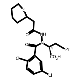 CC(C)C[C@@H](C(=O)O)N(NC(=O)CC1CCCCC1)C(=O)c1cc(Cl)ccc1Cl